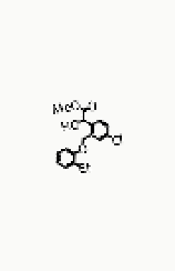 CCc1ccccc1OCc1cc(Cl)ccc1C(O)C(=O)OC